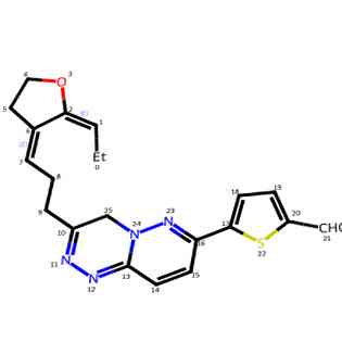 CC/C=C1/OCC/C1=C/CCC1=NN=C2C=CC(c3ccc(C=O)s3)=NN2C1